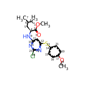 COC(=O)[C@H](CC(C)C)Nc1cc(Sc2ccc(OC)cc2)nc(Cl)n1